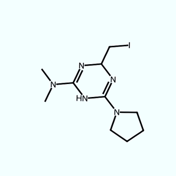 CN(C)C1=NC(CI)N=C(N2CCCC2)N1